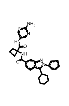 Nc1ncc(NC(=O)C2(NC(=O)c3ccc4c(C5CCCCC5)n(-c5ccccc5)nc4c3)CCC2)cn1